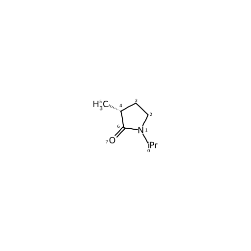 CC(C)N1CC[C@@H](C)C1=O